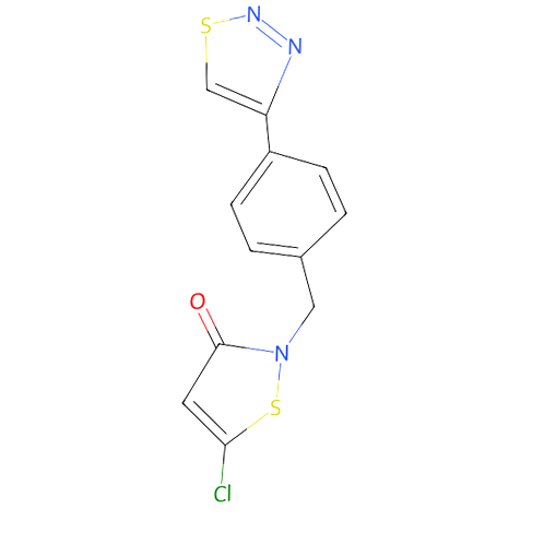 O=c1cc(Cl)sn1Cc1ccc(-c2csnn2)cc1